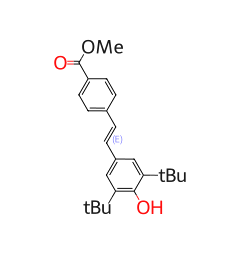 COC(=O)c1ccc(/C=C/c2cc(C(C)(C)C)c(O)c(C(C)(C)C)c2)cc1